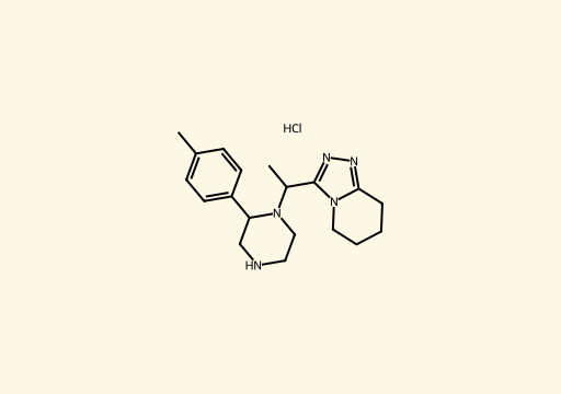 Cc1ccc(C2CNCCN2C(C)c2nnc3n2CCCC3)cc1.Cl